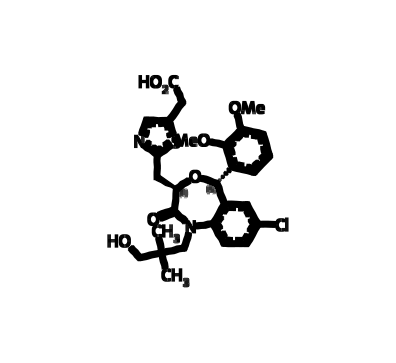 COc1cccc([C@H]2O[C@H](Cc3ncc(CC(=O)O)s3)C(=O)N(CC(C)(C)CO)c3ccc(Cl)cc32)c1OC